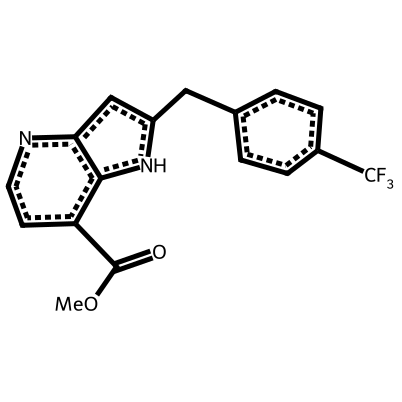 COC(=O)c1ccnc2cc(Cc3ccc(C(F)(F)F)cc3)[nH]c12